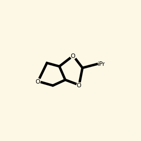 CC(C)C1OC2COCC2O1